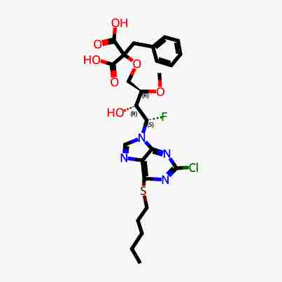 CCCCCSc1nc(Cl)nc2c1ncn2[C@@H](F)[C@H](O)[C@@H](COC(Cc1ccccc1)(C(=O)O)C(=O)O)OC